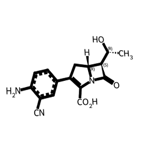 C[C@@H](O)[C@H]1C(=O)N2C(C(=O)O)=C(c3ccc(N)c(C#N)c3)C[C@H]12